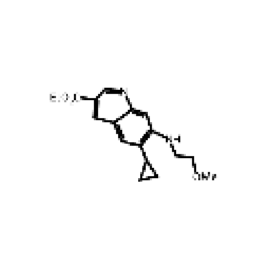 CCOC(=O)c1cnc2cc(NCCOC)c(C3CC3)cc2c1